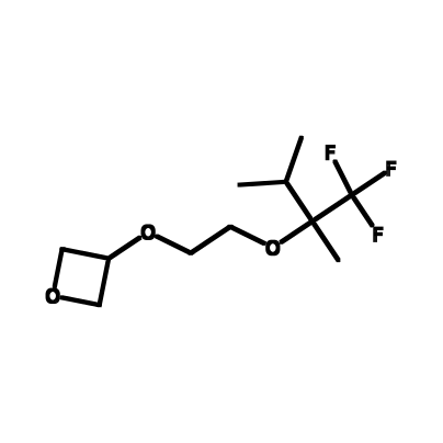 CC(C)C(C)(OCCOC1COC1)C(F)(F)F